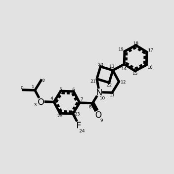 CC(C)Oc1ccc(C(=O)N2CCC3(c4ccccc4)CC2C3)c(F)c1